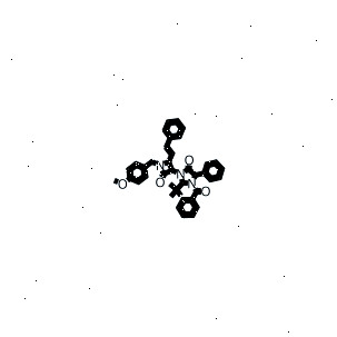 COc1ccc(CN2C(=O)C(N3C(=O)C(c4ccccc4)N(C(=O)c4ccccc4)C3C(C)(C)C)C2C=Cc2ccccc2)cc1